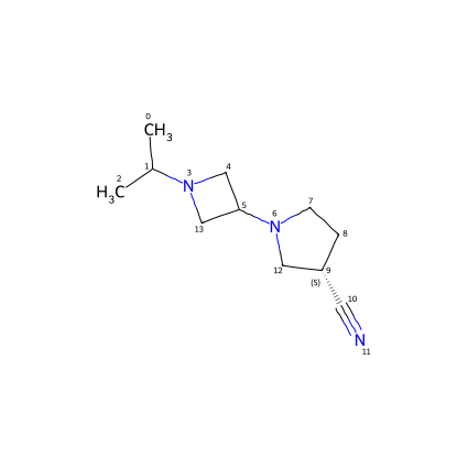 CC(C)N1CC(N2CC[C@H](C#N)C2)C1